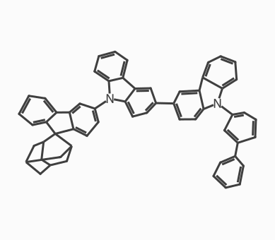 c1ccc(-c2cccc(-n3c4ccccc4c4cc(-c5ccc6c(c5)c5ccccc5n6-c5ccc6c(c5)-c5ccccc5C65C6CC7CC(C6)CC5C7)ccc43)c2)cc1